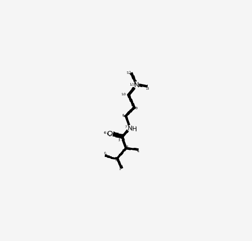 CC(C)C(C)C(=O)NCCCN(C)C